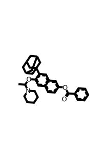 CC(Oc1cc2ccc(OC(=O)c3ccccc3)cc2cc1C12CC3CC(CC(C3)C1)C2)N1CCCCC1